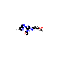 CC(C)(O)CCc1cn(-c2cnc(-n3ncc4cc(C#N)cnc43)cc2NC2CCOC2)nn1